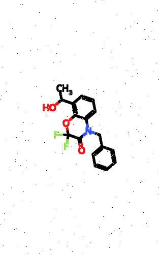 CC(O)c1cccc2c1OC(F)(F)C(=O)N2Cc1ccccc1